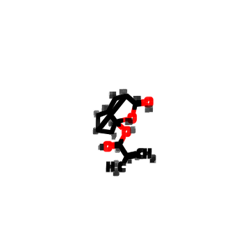 C=C(C)C(=O)OC12CC3CC1CC3C(=O)O2